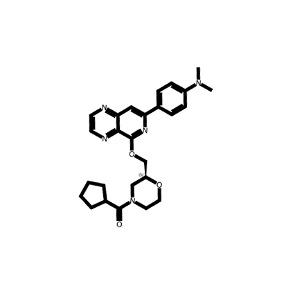 CN(C)c1ccc(-c2cc3nccnc3c(OC[C@@H]3CN(C(=O)C4CCCC4)CCO3)n2)cc1